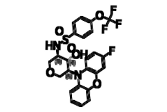 O=S(=O)(N[C@@H]1COC[C@H](N2c3ccccc3Oc3cc(F)ccc32)[C@H]1O)c1ccc(OC(F)(F)F)cc1